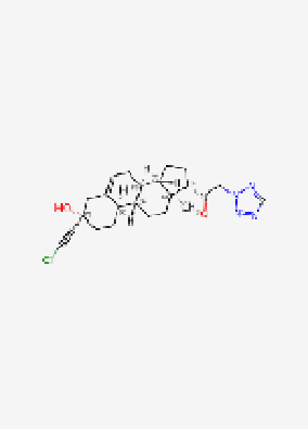 C[C@]12CC[C@H]3[C@@H](CC=C4C[C@](O)(C#CCl)CC[C@@H]43)[C@@H]1CC[C@@H]2C(=O)Cn1ncnn1